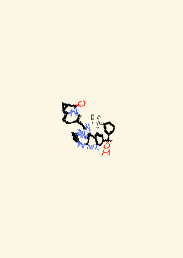 C[C@@](O)(c1ccc(-c2nc(C3CCC4C5CC5C(=O)N4C3)n3ccnc(N)c23)cc1)c1cccc(C(F)(F)F)c1